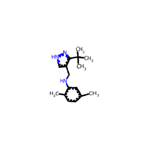 Cc1ccc(C)c(NCc2c[nH]nc2C(C)(C)C)c1